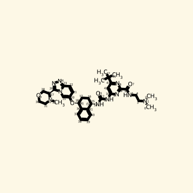 CN(C)CCNC(=O)c1nc(NC(=O)N[C@H]2CC[C@@H](Oc3ccc4nnc([C@@H]5COCCN5C)n4c3)c3ccccc32)cc(C(C)(C)C)n1